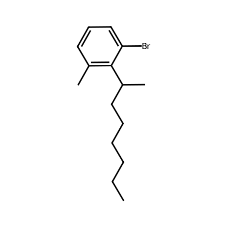 CCCCCCC(C)c1c(C)cccc1Br